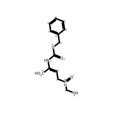 O=C(NC(=CC[PH](=O)CO)C(=O)O)OCc1ccccc1